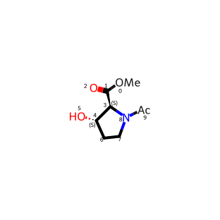 COC(=O)[C@@H]1[C@@H](O)CCN1C(C)=O